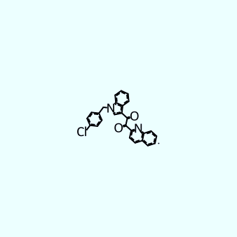 O=C(C(=O)c1cn(Cc2ccc(Cl)cc2)c2ccccc12)c1ccc2c[c]ccc2n1